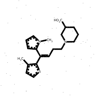 Cc1ccsc1C(=CCCN1CCCC(C(=O)O)C1)c1cccn1C